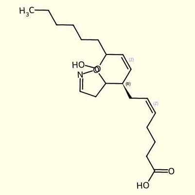 CCCCCCC(/C=C\[C@@H](C/C=C\CCCC(=O)O)C1CC=NO1)OO